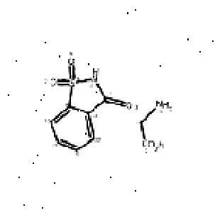 NCC(=O)O.O=C1NS(=O)(=O)c2ccccc21